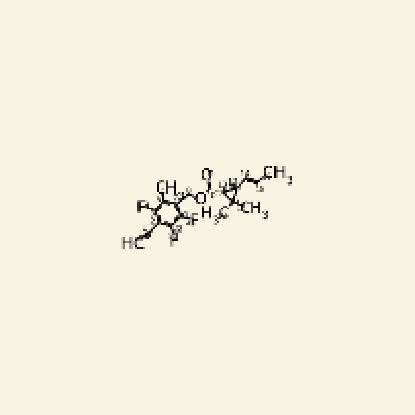 C#Cc1c(F)c(C)c(COC(=O)[C@@H]2[C@@H](C=CC)C2(C)C)c(F)c1F